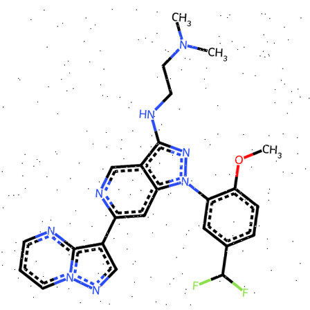 COc1ccc(C(F)F)cc1-n1nc(NCCN(C)C)c2cnc(-c3cnn4cccnc34)cc21